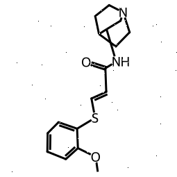 COc1ccccc1SC=CC(=O)NC1CN2CCC1CC2